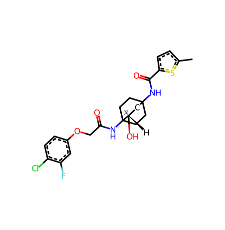 Cc1ccc(C(=O)NC23CCC(NC(=O)COc4ccc(Cl)c(F)c4)(CC2)[C@@H](O)C3)s1